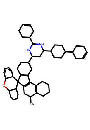 N#CC1CC2=C(C3=C1CCCC3)C1CC(C3CC(C4CCC(C5CC=CCC5)CC4)NC(C4CC=CCC4)N3)CCC1C21C2C=CC=CC2OC2CCCCC21